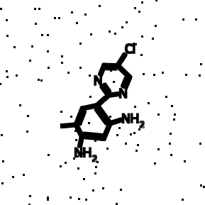 Cc1cc(-c2ncc(Cl)cn2)c(N)cc1N